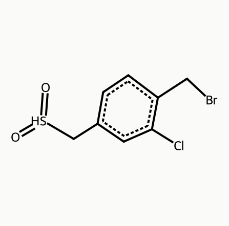 O=[SH](=O)Cc1ccc(CBr)c(Cl)c1